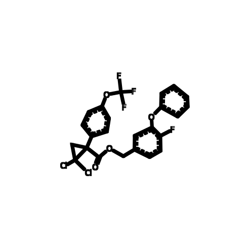 O=C(OCc1ccc(F)c(Oc2ccccc2)c1)C1(c2ccc(OC(F)(F)F)cc2)CC1(Cl)Cl